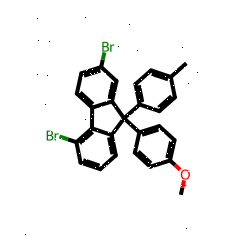 COc1ccc(C2(c3ccc(C)cc3)c3cc(Br)ccc3-c3c(Br)cccc32)cc1